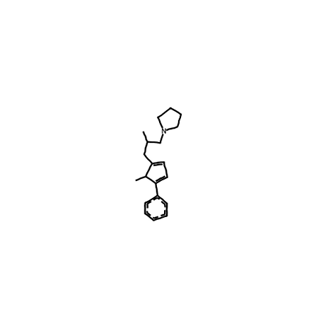 CC(CC1=CC=C(c2ccccc2)C1C)CN1CCCC1